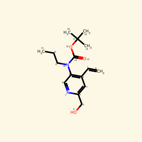 C=Cc1cc(CO)ncc1N(CCC)C(=O)OC(C)(C)C